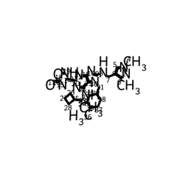 Cc1nn(C)cc1CNc1nc2nc(-c3nc(=O)o[nH]3)nc(N[C@H](C)C3CCC3)c2n1CC1CCC(C)CC1